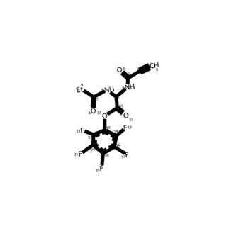 C#CC(=O)NC(NC(=O)CC)C(=O)Oc1c(F)c(F)c(F)c(F)c1F